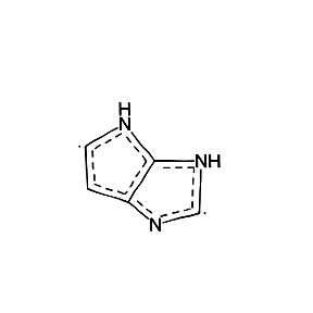 [c]1cc2n[c][nH]c2[nH]1